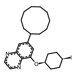 I[C@H]1CC[C@@H](Oc2cc(C3CCCCCCCCC3)cc3nccnc23)CC1